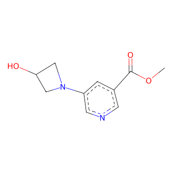 COC(=O)c1cncc(N2CC(O)C2)c1